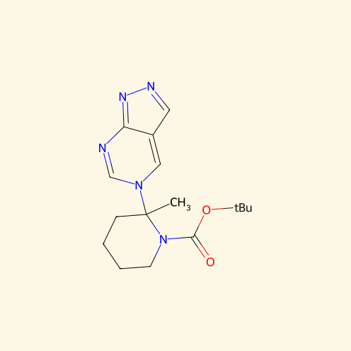 CC(C)(C)OC(=O)N1CCCCC1(C)n1cnc2nncc-2c1